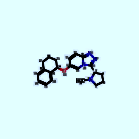 CN1CCC[C@H]1c1nnc2ccc(O[C@@H]3CCCc4ccccc43)cn12